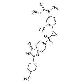 Cc1cc(N(C)C(=O)OC(C)(C)C)ccc1C1CC1S(=O)(=O)N1CCC2(CC1)N=C(C1CCC(C)CC1)NC2=O